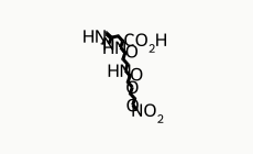 O=C(COCCO[N+](=O)[O-])NCCC(=O)NC(Cc1c[nH]cn1)C(=O)O